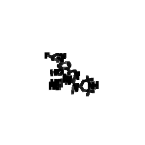 CN(c1ncc(-c2ccc(-n3cc(F)cn3)cc2O)nn1)C1CC(C)(C)NC(C)(C)C1.Cl.Cl